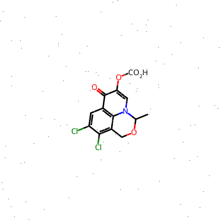 CC1OCc2c(Cl)c(Cl)cc3c(=O)c(OC(=O)O)cn1c23